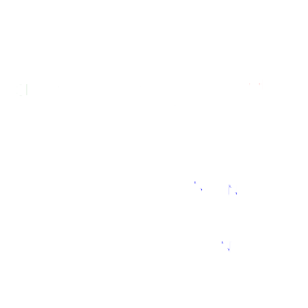 CC(C(O)/C=C/c1ccc(Cl)cc1)n1cncn1